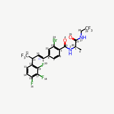 C[C@@H](NC(=O)c1ccc(/C=C/C(c2ccc(F)c(F)c2F)C(F)(F)F)cc1Br)C(=O)NCC(F)(F)F